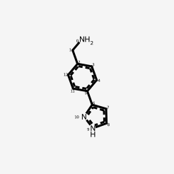 NCc1ccc(-c2cc[nH]n2)cc1